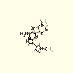 Cn1cc(-c2cnn3c(N)c(Br)c([C@@H]4CCC[C@H](N)C4)nc23)cn1